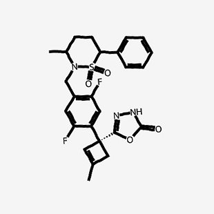 CC1=C[C@@](c2n[nH]c(=O)o2)(c2cc(F)c(CN3C(C)CCC(c4ccccc4)S3(=O)=O)cc2F)C1